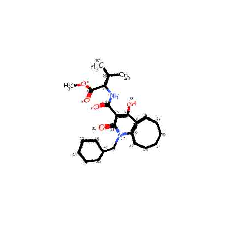 COC(=O)C(NC(=O)c1c(O)c2c(n(CC3CCCCC3)c1=O)CCCCCC2)C(C)C